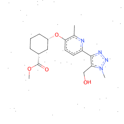 COC(=O)[C@@H]1CCC[C@H](Oc2ccc(-c3nnn(C)c3CO)nc2C)C1